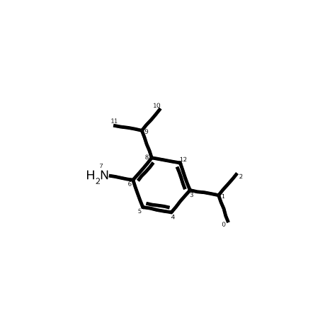 CC(C)c1ccc(N)c(C(C)C)c1